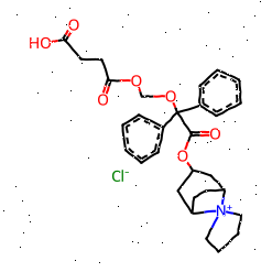 O=C(O)CCC(=O)OCOC(C(=O)OC1CC2CCC(C1)[N+]21CCCC1)(c1ccccc1)c1ccccc1.[Cl-]